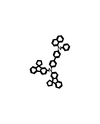 c1ccc(N(c2ccc(-c3ccc(N(c4ccc5c(c4)C4(CCCC4)c4ccccc4-5)c4ccc5c(c4)C4(CCCC4)c4ccccc4-5)cc3)cc2)c2cccc3ccccc23)cc1